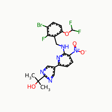 CC(C)(O)c1ncc(-c2ccc([N+](=O)[O-])c(NCc3c(OC(F)F)ccc(Br)c3F)n2)cn1